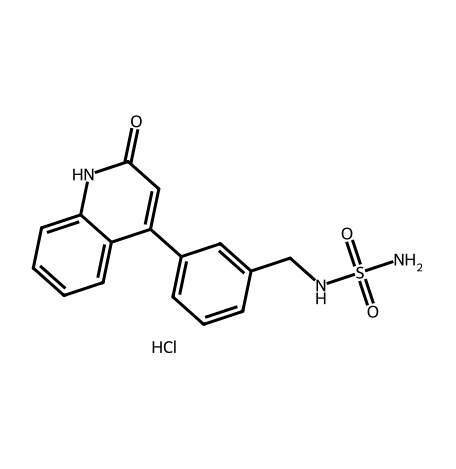 Cl.NS(=O)(=O)NCc1cccc(-c2cc(=O)[nH]c3ccccc23)c1